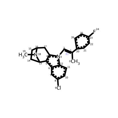 C/C(=C\n1c2c(c3cc(Cl)ccc31)C1CCC(C2)N1C)c1ccc(F)cc1